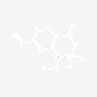 C=Cc1ccc2c(c1)N(CC)C(C)(C)CC2C